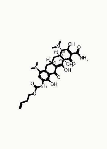 C=CCCOC(=O)Nc1cc(N(C)C)c2c(c1O)C(=O)C1=C(O)[C@]3(O)C(=O)C(C(N)=O)=C(O)[C@@H](N(C)C)[C@@H]3C[C@H]1C2